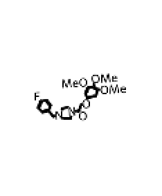 COc1cc(OCC(=O)N2CCN(Cc3ccc(F)cc3)CC2)cc(OC)c1OC